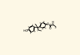 CCC(C)(c1ccc(O)cc1)c1ccc(OC(=O)NC)cc1